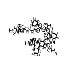 CCOc1nc2cccc(C(=O)OC(C)OC(=O)OC(CCCCO[N@@H+](N)[O-])c3ccccc3)c2n1Cc1ccc(-c2ccccc2-c2nnn[nH]2)cc1